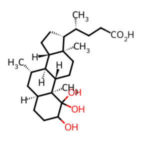 C[C@H](CCC(=O)O)[C@H]1CC[C@H]2[C@@H]3[C@@H](C)C[C@@H]4CCC(O)C(O)(O)[C@]4(C)[C@H]3CC[C@]12C